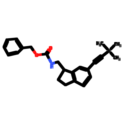 C[Si](C)(C)C#Cc1ccc2c(c1)C(CNC(=O)OCc1ccccc1)CC2